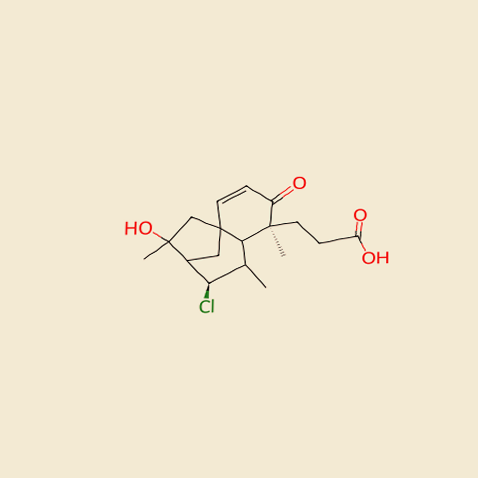 CC1C2C3(C=CC(=O)[C@@]2(C)CCC(=O)O)CC([C@@H]1Cl)C(C)(O)C3